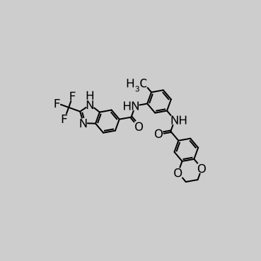 Cc1ccc(NC(=O)c2ccc3c(c2)OCCO3)cc1NC(=O)c1ccc2nc(C(F)(F)F)[nH]c2c1